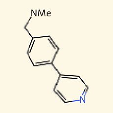 CNCc1ccc(-c2ccncc2)cc1